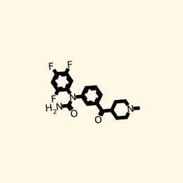 CN1CCC(C(=O)c2cccc(N(C(N)=O)c3cc(F)c(F)cc3F)c2)CC1